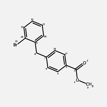 COC(=O)c1ccc(Cc2ccccc2Br)cc1